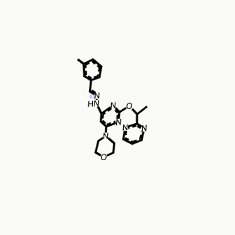 Cc1cccc(/C=N/Nc2cc(N3CCOCC3)nc(OC(C)c3ncccn3)n2)c1